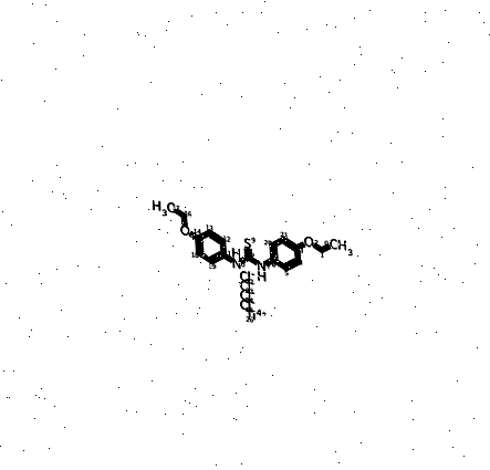 CCOc1ccc(NC(=S)Nc2ccc(OCC)cc2)cc1.[Cl-].[Cl-].[Cl-].[Cl-].[Ti+4]